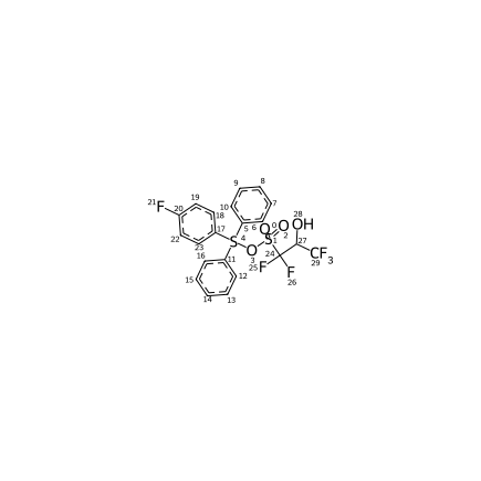 O=S(=O)(OS(c1ccccc1)(c1ccccc1)c1ccc(F)cc1)C(F)(F)C(O)C(F)(F)F